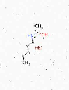 Br.CCCCCNC(C)O